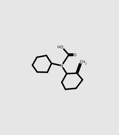 C=C1CCCCC1N(C(=O)O)C1CCCCC1